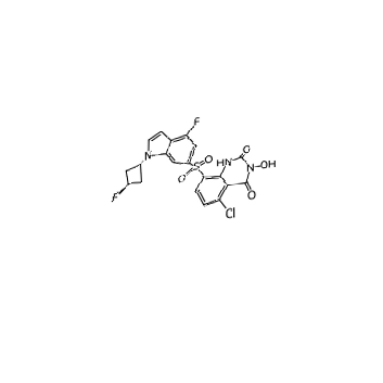 O=c1[nH]c2c(S(=O)(=O)c3cc(F)c4ccn([C@H]5C[C@H](F)C5)c4c3)ccc(Cl)c2c(=O)n1O